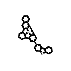 c1ccc2c(c1)cc1c3cccc4c5cc(-c6ccc7oc8ccccc8c7c6)cc6c2c1n(c43)c56